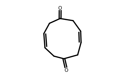 O=C1CC=CCC(=O)CC=CC1